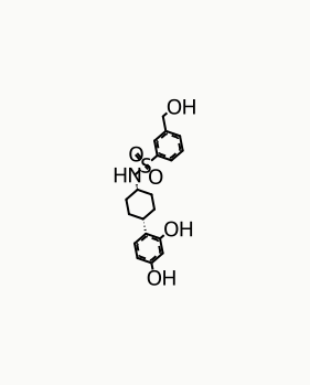 O=S(=O)(N[C@H]1CC[C@@H](c2ccc(O)cc2O)CC1)c1cccc(CO)c1